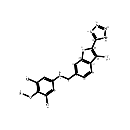 CCOc1c(Cl)cc(NCc2ccc3c(C(F)(F)F)c(-c4nnn[nH]4)oc3c2)cc1Cl